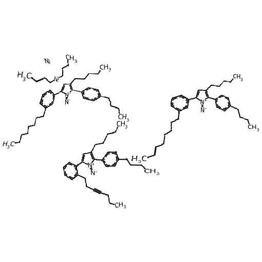 CCCC#CCCc1ccccc1C1=CC(CCCCC)=C(c2ccc(CCCC)cc2)[N+]1=[N-].CCCCCCCCc1cccc(C2=CC(CCCCC)=C(c3ccc(CCCC)cc3)[N+]2=[N-])c1.CCCCCCCCc1cccc(C2=CC(CCCCC)=C(c3ccc(CCCC)cc3)[N+]2=[N-])c1.CCC[CH2][Ni][CH2]CCC.[Ni]